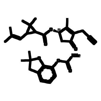 C#CCC1=C(C)[C@@H](OC(=O)C2C(C=C(C)C)C2(C)C)CC1=O.CNC(=O)Oc1cccc2c1OC(C)(C)C2